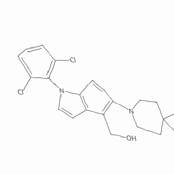 CC1(N)CCN(c2ccc3c(ccn3-c3c(Cl)cccc3Cl)c2CO)CC1